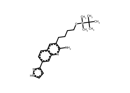 CC(C)(C)[Si](C)(C)OCCCCc1cc2ccc(-c3cc[nH]n3)cc2nc1N